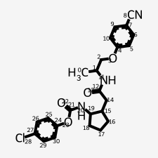 CC(COc1ccc(C#N)cc1)NC(=O)CC1CCCC1NC(=O)Oc1ccc(Cl)cc1